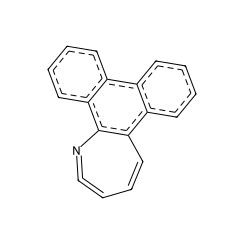 C1=CC=Cc2c(c3ccccc3c3ccccc23)N=1